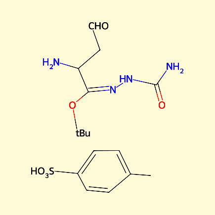 CC(C)(C)OC(=NNC(N)=O)C(N)CC=O.Cc1ccc(S(=O)(=O)O)cc1